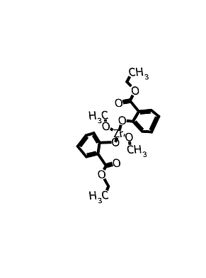 CCOC(=O)c1ccccc1[O][Zr]([O]C)([O]C)[O]c1ccccc1C(=O)OCC